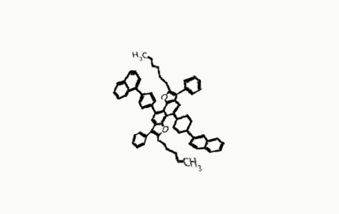 CCCCCCc1oc2c(cc(C3CCC(c4ccc5ccccc5c4)CC3)c3c4oc(CCCCCC)c(-c5ccccc5)c4cc(-c4ccc(-c5cccc6ccccc56)cc4)c23)c1-c1ccccc1